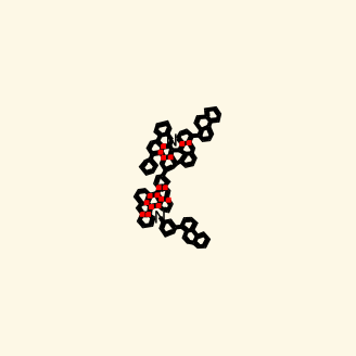 c1ccc(-c2ccc(-c3ccccc3N(c3ccc(-c4cccc5c4ccc4ccccc45)cc3)c3ccccc3-c3cccc4cccc(-c5cccc(-c6ccc(-c7ccc(-c8ccccc8N(c8cccc(-c9cccc%10c9ccc9ccccc9%10)c8)c8ccccc8-c8cccc9cccc(-c%10ccccc%10)c89)cc7)cc6)c5)c34)cc2)cc1